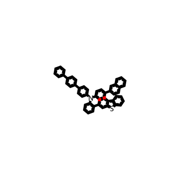 c1ccc(-c2ccc(-c3ccc(N(c4ccc(-c5ccc6ccccc6c5)cc4)c4ccccc4-c4ccc5c(c4)sc4ccccc45)cc3)cc2)cc1